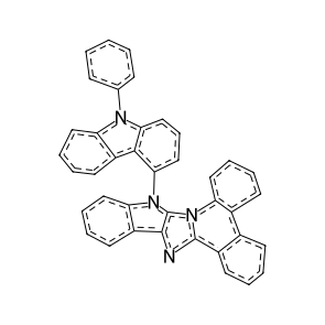 c1ccc(-n2c3ccccc3c3c(-n4c5ccccc5c5nc6c7ccccc7c7ccccc7n6c54)cccc32)cc1